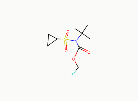 CC(C)(C)N(C(=O)OCF)S(=O)(=O)C1CC1